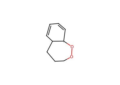 C1=C[C]2OOCCCC2C=C1